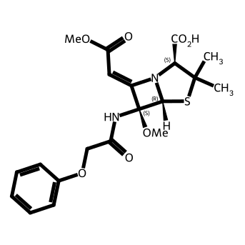 COC(=O)C=C1N2[C@@H](C(=O)O)C(C)(C)S[C@@H]2[C@@]1(NC(=O)COc1ccccc1)OC